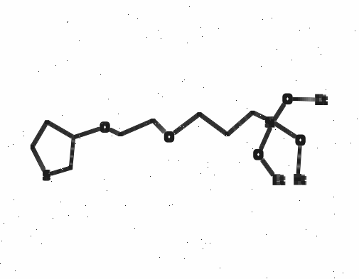 CCO[Si](CCCOCCOC1CCSC1)(OCC)OCC